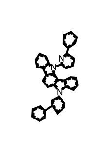 c1ccc(-c2cccc(-n3c4ccccc4c4c3ccc3c5ccccc5n(-c5cccc(-c6ccccc6)n5)c34)c2)cc1